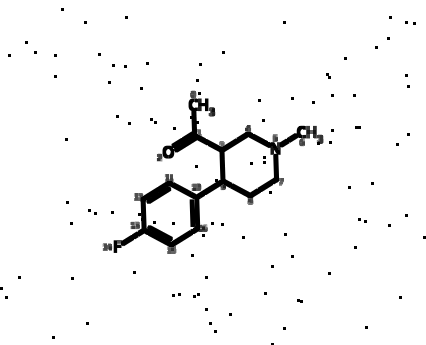 CC(=O)C1CN(C)CCC1c1ccc(F)cc1